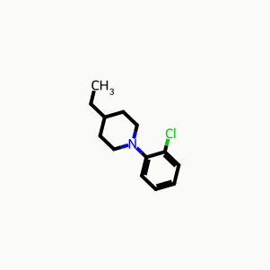 CCC1CCN(c2ccccc2Cl)CC1